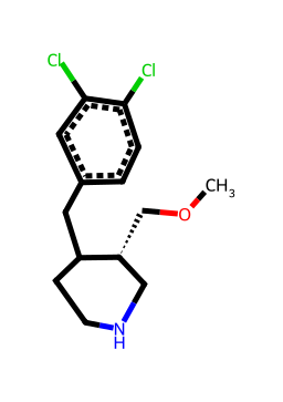 COC[C@@H]1CNCCC1Cc1ccc(Cl)c(Cl)c1